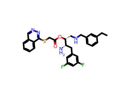 CCc1cccc(CNC[C@@H](OC(=O)CSc2nncc3ccccc23)[C@@H](N)Cc2cc(F)cc(F)c2)c1